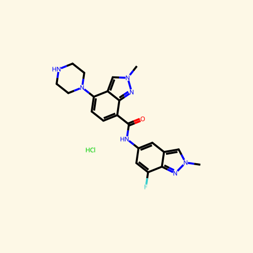 Cl.Cn1cc2cc(NC(=O)c3ccc(N4CCNCC4)c4cn(C)nc34)cc(F)c2n1